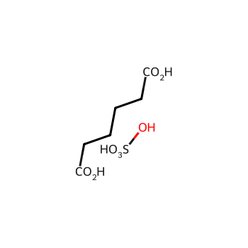 O=C(O)CCCCC(=O)O.O=S(=O)(O)O